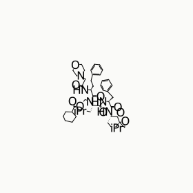 CC(C)C[C@H](NC(=O)[C@H](Cc1ccccc1)NC(=O)[C@H](CC(C)C)N(COC(=O)C1CCCCC1)C(=O)[C@H](CCc1ccccc1)NC(=O)CN1CCOCC1)C(=O)[C@@]1(C)CO1